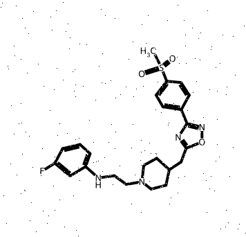 CS(=O)(=O)c1ccc(-c2noc(CC3CCN(CCNc4cccc(F)c4)CC3)n2)cc1